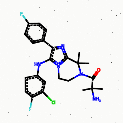 CC(C)(N)C(=O)N1CCn2c(nc(-c3ccc(F)cc3)c2Nc2ccc(F)c(Cl)c2)C1(C)C